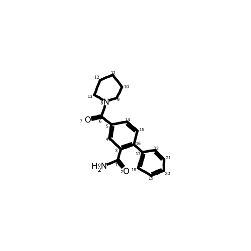 NC(=O)c1[c]c(C(=O)N2CCCCC2)ccc1-c1ccccc1